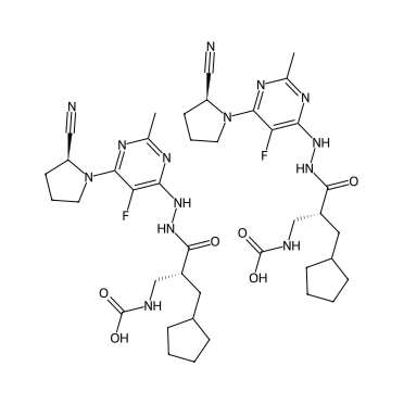 Cc1nc(NNC(=O)[C@@H](CNC(=O)O)CC2CCCC2)c(F)c(N2CCC[C@H]2C#N)n1.Cc1nc(NNC(=O)[C@@H](CNC(=O)O)CC2CCCC2)c(F)c(N2CCC[C@H]2C#N)n1